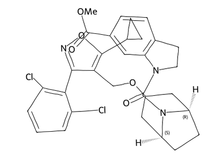 COC(=O)c1ccc2c(c1)N(C(=O)N1[C@@H]3CC[C@H]1CC(OCc1c(-c4c(Cl)cccc4Cl)noc1C1CC1)C3)CC2